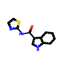 O=C(Nc1nccs1)c1c[nH]c2ccccc12